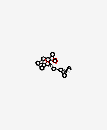 C1=C2C(=CCC1)C1(c3ccccc32)c2ccccc2-c2cc(N(c3cccc(-c4ccc5c(c4)c4ccccc4n5-c4ccccc4)c3)c3ccccc3-c3ccccc3-c3ccccc3-c3ccccc3)ccc21